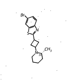 C[C@@H]1CCCCN1C1CC(c2nc3ccc(Br)cc3s2)C1